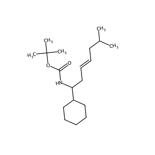 CC(C)CC=CCC(NC(=O)OC(C)(C)C)C1CCCCC1